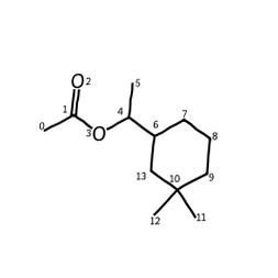 CC(=O)OC(C)C1CCCC(C)(C)C1